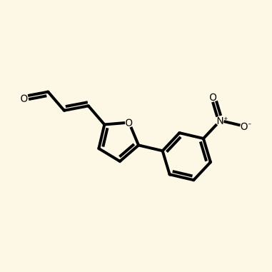 O=C/C=C/c1ccc(-c2cccc([N+](=O)[O-])c2)o1